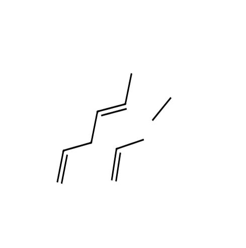 C=CC.C=CCC=CC.CC